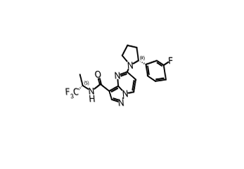 C[C@H](NC(=O)c1cnn2ccc(N3CCC[C@@H]3c3cccc(F)c3)nc12)C(F)(F)F